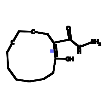 NNC(=O)/C1=C(\O)CCCCCCCCCC1